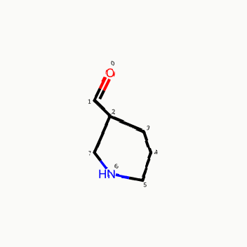 O=CC1CCCNC1